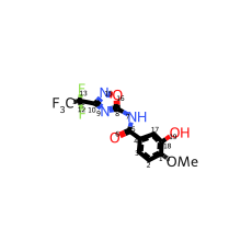 COc1ccc(C(=O)Nc2nc(C(F)(F)C(F)(F)F)no2)cc1O